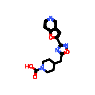 O=C(O)N1CCC(Cc2nc(-c3cc4cnccc4o3)no2)CC1